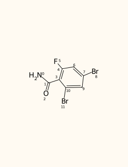 NC(=O)c1c(F)cc(Br)cc1Br